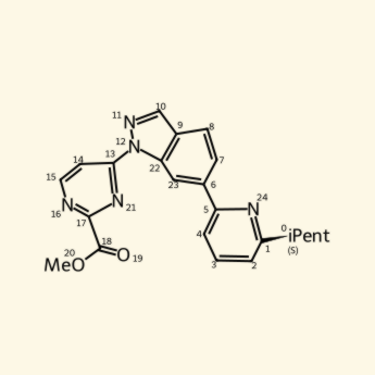 CCC[C@H](C)c1cccc(-c2ccc3cnn(-c4ccnc(C(=O)OC)n4)c3c2)n1